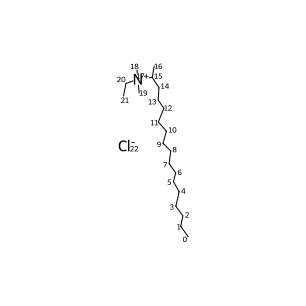 CCCCCCCCCCCCCCCC(C)[N+](C)(C)CC.[Cl-]